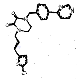 O=C1C(=O)N(Cc2ccc(-c3ccncn3)cc2)CCN1C/C=C/c1ccc(Cl)s1